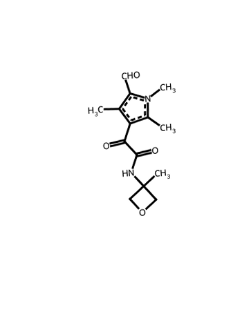 Cc1c(C(=O)C(=O)NC2(C)COC2)c(C)n(C)c1C=O